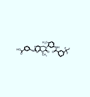 Cc1ccc(NC(=O)c2cccc(C(F)(F)F)c2)cc1N1Cc2cnc(Nc3cccc(C(=O)O)c3)nc2N(C)C1=O